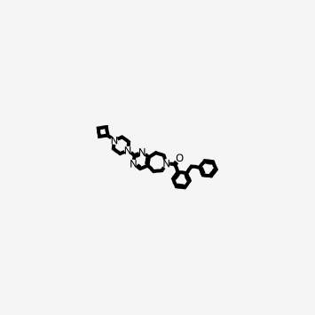 O=C(c1ccccc1Cc1ccccc1)N1CCc2cnc(N3CCN(C4CCC4)CC3)nc2CC1